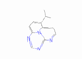 CC(C)C1=CC=C2N=CN=C3N=CC=C1N23